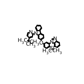 CC(C)(C)c1ccnc(-n2c3ccccc3c3ccc(Oc4ccc5c(c4)-n4cnc6cccc(c64)[Si]5(C)C)cc32)c1